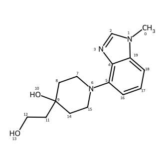 Cn1cnc2c(N3CCC(O)(CCO)CC3)cccc21